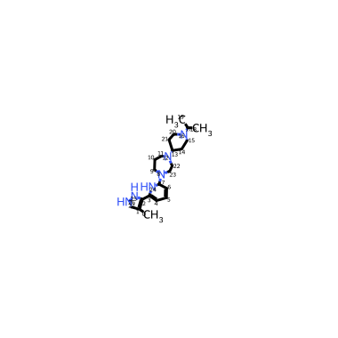 CC1=C(C2=CC=CC(N3CCCN(C4CCN(C(C)C)CC4)CC3)N2)NNC1